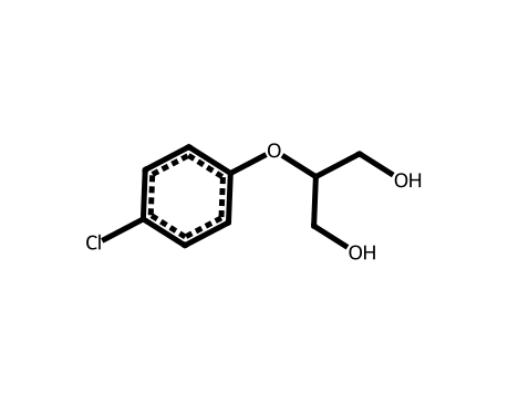 OCC(CO)Oc1ccc(Cl)cc1